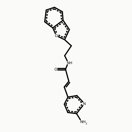 Nc1ccc(C=CC(=O)NCCc2cc3ccccc3o2)cn1